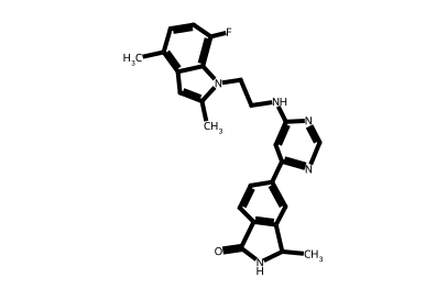 Cc1ccc(F)c2c1cc(C)n2CCNc1cc(-c2ccc3c(c2)C(C)NC3=O)ncn1